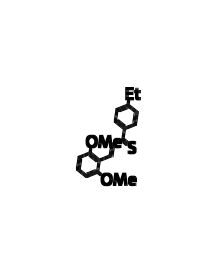 CCc1ccc(C(=S)C=Cc2c(OC)cccc2OC)cc1